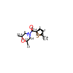 CCc1ccc(C(=O)N2CC(C)OC(C)C2)s1